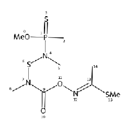 COP(C)(=S)N(C)SN(C)C(=O)ON=C(C)SC